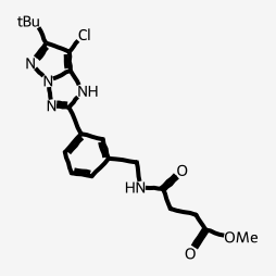 COC(=O)CCC(=O)NCc1cccc(-c2nn3nc(C(C)(C)C)c(Cl)c3[nH]2)c1